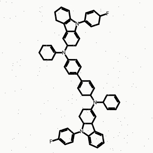 Fc1ccc(N2c3ccccc3C3C=C(N(C4C=CC=CC4)C4C=CC(c5ccc(N(C6=CCCCC6)C6C=c7c8c(n(C9=CCC(F)C=C9)c7=CC6)C=CCC8)cc5)=CC4)CCC32)cc1